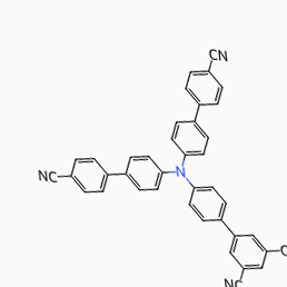 N#Cc1ccc(-c2ccc(N(c3ccc(-c4ccc(C#N)cc4)cc3)c3ccc(-c4cc(C#N)cc(C#N)c4)cc3)cc2)cc1